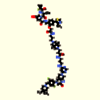 Cc1ncsc1-c1ccc(CNC(=O)[C@@H]2C[C@@H](O)CN2C(=O)[C@@H](NC(=O)C2(F)CC2)C(C)(C)C)c(OCC(=O)NCCCN2C[C@@H]3CN(CCC(=O)NCCCNc4cc(N5CCC6(CC5)CN(c5cc(F)c(CN7CCC(C)(C)CC7)cc5F)CC(=O)N6)ncn4)C[C@@H]3C2)c1